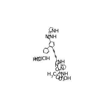 CC(C)[C@H](NC(=O)O)C(=O)N1CCC[C@H]1c1ncc(C#CC#Cc2ccc(-c3cnc([C@@H]4CCCN4)[nH]3)cc2-c2ccccc2)[nH]1.Cl.Cl.Cl